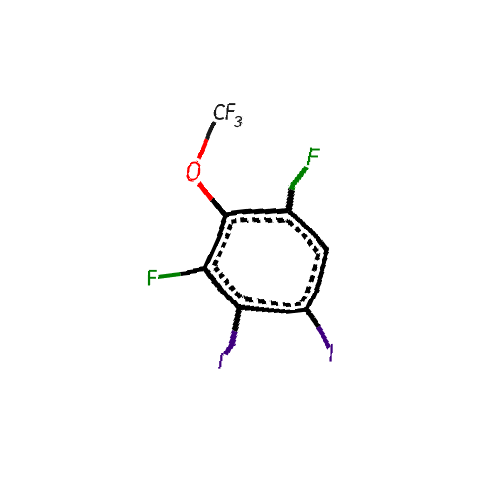 Fc1cc(I)c(I)c(F)c1OC(F)(F)F